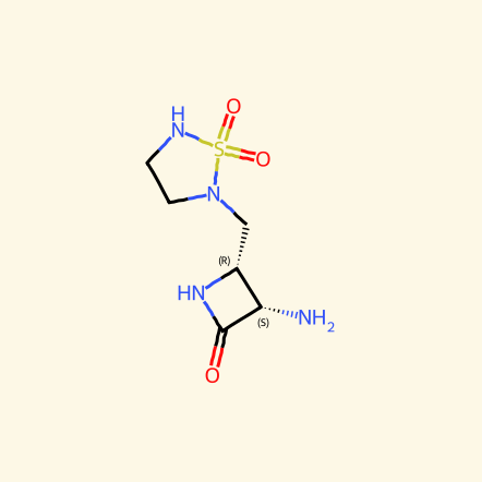 N[C@@H]1C(=O)N[C@@H]1CN1CCNS1(=O)=O